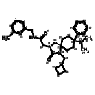 Cc1cccc(CNC(=O)CN2C[C@]3(CC[C@@](c4ccccc4)(N(C)C)CC3)N(CC3CCC3)C2=O)n1